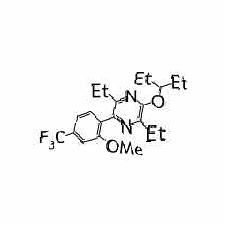 CCc1nc(-c2ccc(C(F)(F)F)cc2OC)c(CC)nc1OC(CC)CC